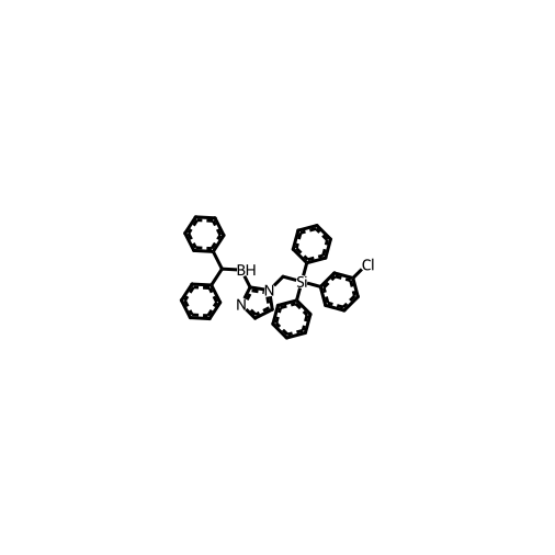 Clc1cccc([Si](Cn2ccnc2BC(c2ccccc2)c2ccccc2)(c2ccccc2)c2ccccc2)c1